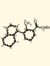 COC(=O)c1cccc(-c2ncnc3ccccc23)c1C